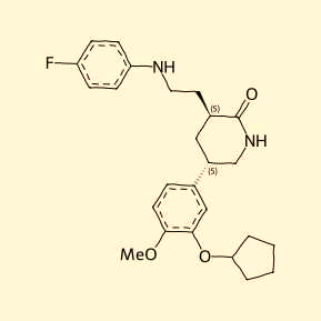 COc1ccc([C@H]2CNC(=O)[C@H](CCNc3ccc(F)cc3)C2)cc1OC1CCCC1